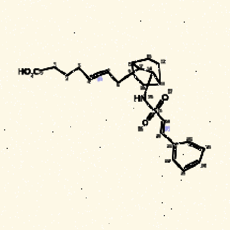 O=C(O)CCC/C=C/CC1C2CCC(CC2)C1NS(=O)(=O)/C=C/c1ccccc1